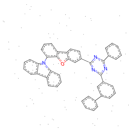 c1ccc(-c2cccc(-c3nc(-c4ccccc4)nc(-c4ccc5c(c4)oc4c(-n6c7ccccc7c7ccccc76)cccc45)n3)c2)cc1